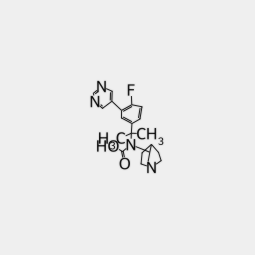 CC(C)(c1ccc(F)c(-c2cncnc2)c1)N(C(=O)O)C1CN2CCC1CC2